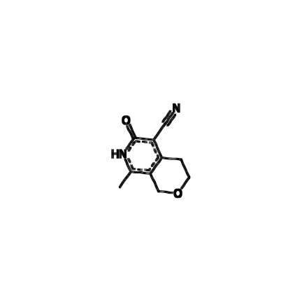 Cc1[nH]c(=O)c(C#N)c2c1COCC2